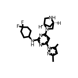 Cc1cc(C)n(-c2cc(N3C[C@H]4C[C@@H]3CN4)nc(NC3CCC(F)(F)CC3)n2)n1